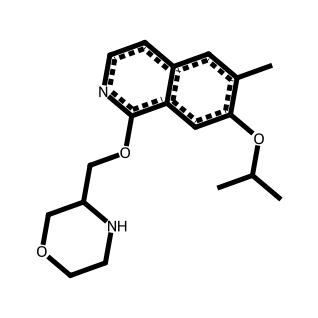 Cc1cc2ccnc(OCC3COCCN3)c2cc1OC(C)C